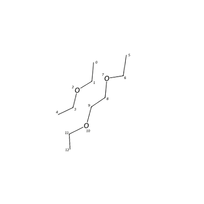 CCOCC.CCOCCOCC